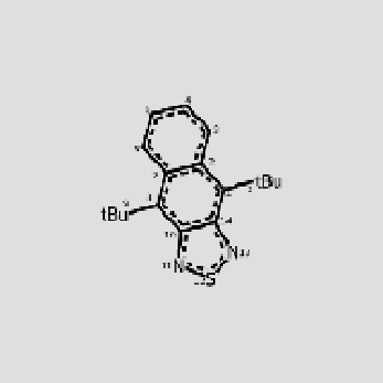 CC(C)(C)c1c2ccccc2c(C(C)(C)C)c2nsnc12